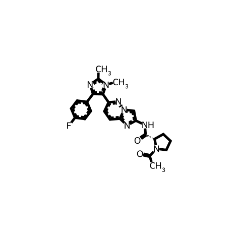 CC(=O)N1CCC[C@H]1C(=O)Nc1cn2nc(-c3c(-c4ccc(F)cc4)nc(C)n3C)ccc2n1